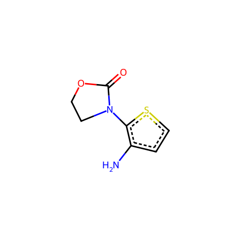 Nc1ccsc1N1CCOC1=O